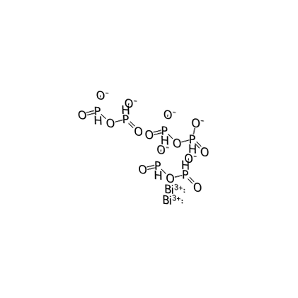 O=[PH]([O-])O[PH](=O)[O-].O=[PH]([O-])O[PH](=O)[O-].O=[PH]([O-])O[PH](=O)[O-].[Bi+3].[Bi+3]